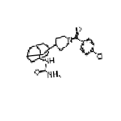 NC(=O)NC12CC3CC(C1)CC(C1CCN(C(=O)c4ccc(Cl)cc4)CC1)(C3)C2